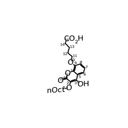 CCCCCCCCOc1c(O)c2cccc(OCCCCC(=O)O)c2oc1=O